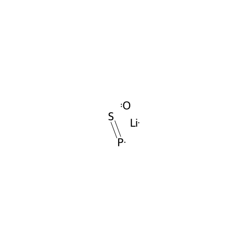 [Li].[O].[P]=S